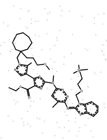 CCOC(=O)c1nc(N(C)c2cc(C)c(N=c3sc4ccccc4n3COCC[Si](C)(C)C)nn2)sc1-c1cnn(CC2(CCCOC)CCCCCCC2)c1C